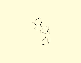 Cc1cccc(-n2nnc(-c3ccccn3)n2)c1S